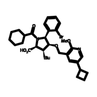 COc1ncc(C2CCC2)cc1CO[C@H]1[C@H](C(C)(C)C)[C@@H](C(=O)O)N(C(=O)C2CCCCC2)[C@H]1c1ccccc1Br